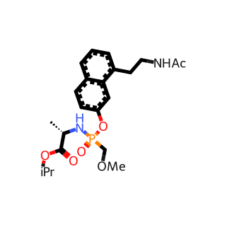 COCP(=O)(N[C@@H](C)C(=O)OC(C)C)Oc1ccc2cccc(CCNC(C)=O)c2c1